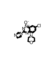 C1COCCN1.[O-][n+]1nc(-n2ccnc2)nc2ccc(Cl)cc21